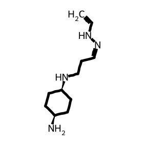 C=CN/N=C\CCN[C@H]1CC[C@@H](N)CC1